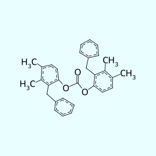 Cc1ccc(OC(=O)Oc2ccc(C)c(C)c2Cc2ccccc2)c(Cc2ccccc2)c1C